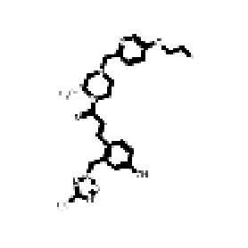 Cc1nnn(Cc2cc(C#N)ccc2C=CC(=O)N2CCN(Cc3ccc(OCCF)cn3)C[C@H]2C)n1